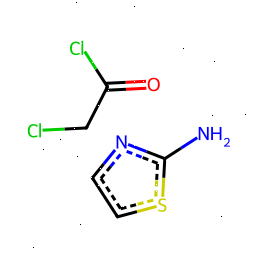 Nc1nccs1.O=C(Cl)CCl